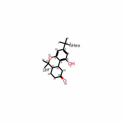 CCCCCCC(C)(C)c1cc(O)c2c(c1)OC(C)(C)[C@@H]1CCC(=O)CC21